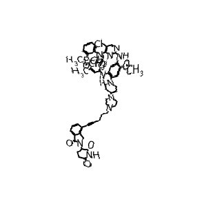 COc1cc(N2CCC(N3CCN(CCCC#Cc4cccc5c4CN(C4CCC(=O)NC4=O)C5=O)CC3)CC2)c(NC(=O)C=C(C)C)cc1Nc1ncc(Cl)c(Nc2ccccc2P(C)(C)=O)n1